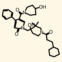 CC1(C)CN(C(=O)CCC2CCCCC2)CCC1(O)Cn1cc(C(=O)N2CCC(O)CC2)c(-c2ccccc2)cc1=O